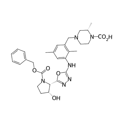 Cc1cc(CN2CCN(C(=O)O)[C@@H](C)C2)c(C)c(Nc2nnc([C@@H]3[C@H](O)CCN3C(=O)OCc3ccccc3)o2)c1